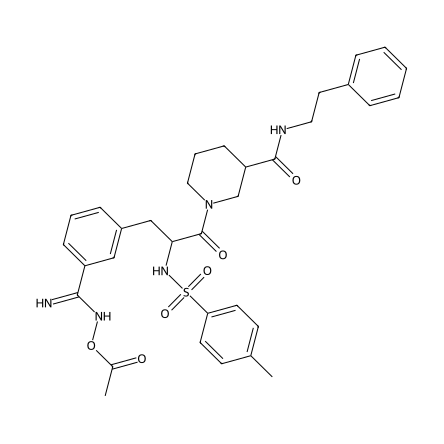 CC(=O)ONC(=N)c1cccc(CC(NS(=O)(=O)c2ccc(C)cc2)C(=O)N2CCCC(C(=O)NCCc3ccccc3)C2)c1